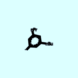 [CH2]c1cc(CCC)cc(CCCC)c1